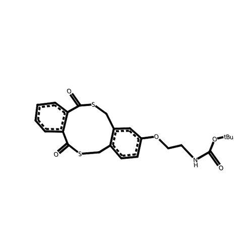 CC(C)(C)OC(=O)NCCOc1ccc2c(c1)CSC(=O)c1ccccc1C(=O)SC2